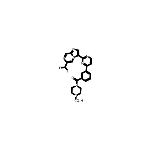 O=C(O)N1CCN(C(=O)c2cccc(-c3ccnc(-c4cnc5cnc(C(F)F)cn45)n3)c2)CC1